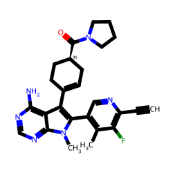 C#Cc1ncc(-c2c(C3=CC[C@H](C(=O)N4CCCC4)CC3)c3c(N)ncnc3n2C)c(C)c1F